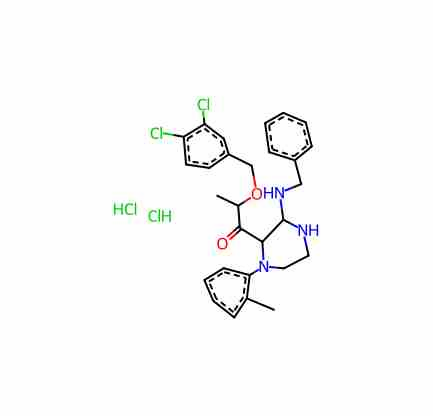 Cc1ccccc1N1CCNC(NCc2ccccc2)C1C(=O)C(C)OCc1ccc(Cl)c(Cl)c1.Cl.Cl